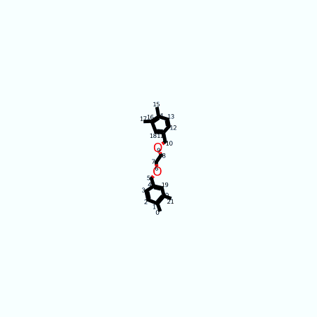 Cc1ccc(COCCOCc2ccc(C)c(C)c2)cc1C